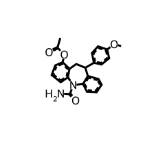 COc1ccc(C2Cc3c(OC(C)=O)cccc3N(C(N)=O)c3ccccc32)cc1